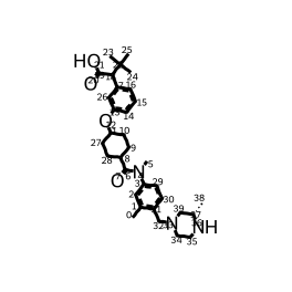 Cc1cc(N(C)C(=O)C2CCC(Oc3cccc(C(C(=O)O)C(C)(C)C)c3)CC2)ccc1CN1CCN[C@@H](C)C1